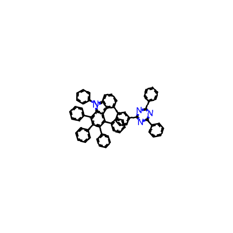 c1ccc(-c2nc(-c3ccccc3)nc(-c3cccc(-c4cccc5c4c4c(-c6ccccc6)c(-c6ccccc6)c(-c6ccccc6)c(-c6ccccc6)c4n5-c4ccccc4)c3)n2)cc1